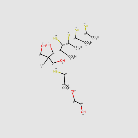 CCC(CO)(CO)CO.O=C(O)CCS.O=C(O)CCS.O=C(O)CS.O=C(O)CS.O=C(O)CS.OCCO